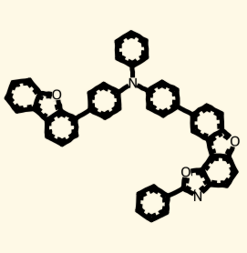 c1ccc(-c2nc3ccc4oc5ccc(-c6ccc(N(c7ccccc7)c7ccc(-c8cccc9c8oc8ccccc89)cc7)cc6)cc5c4c3o2)cc1